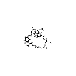 CCOC(C)COCc1ccc([C@@]2(O)CCNC[C@@H]2OCc2ccc3c(c2)N(CCCOC)CCO3)c(OC)c1